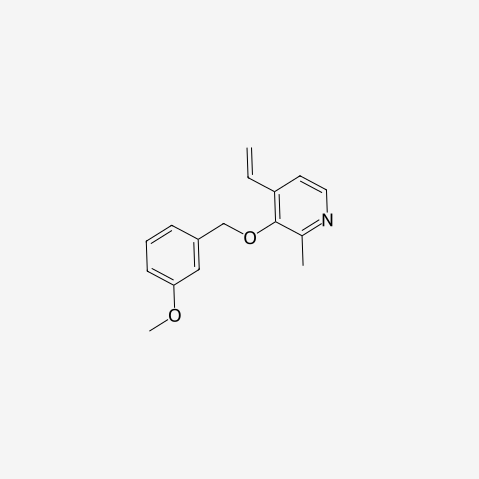 C=Cc1ccnc(C)c1OCc1cccc(OC)c1